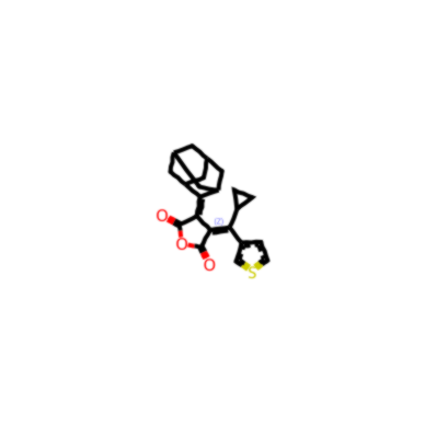 O=C1OC(=O)/C(=C(\c2ccsc2)C2CC2)C1=C1C2CC3CC(C2)CC1C3